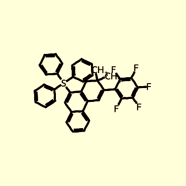 CC1(C)Cc2c(S(c3ccccc3)(c3ccccc3)c3ccccc3)cc3ccccc3c2C=C1c1c(F)c(F)c(F)c(F)c1F